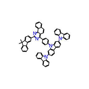 CC1(C)c2ccccc2-c2cc(-c3nc(-c4ccc(-n5c6cc(-n7c8ccccc8c8ccccc87)ccc6c6ccc(-n7c8ccccc8c8ccccc87)cc65)cc4)c4ccc5ccccc5c4n3)ccc21